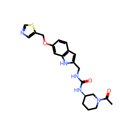 CC(=O)N1CCC[C@@H](NC(=O)NCc2cc3ccc(OCc4cncs4)cc3[nH]2)C1